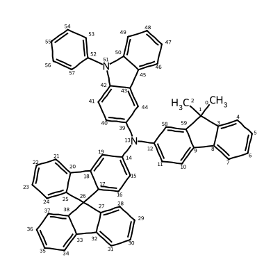 CC1(C)c2ccccc2-c2ccc(N(c3ccc4c(c3)-c3ccccc3C43c4ccccc4-c4ccccc43)c3ccc4c(c3)c3ccccc3n4-c3ccccc3)cc21